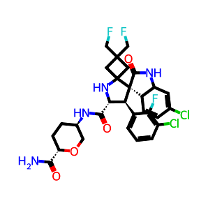 NC(=O)[C@@H]1CC[C@@H](NC(=O)[C@@H]2NC3(CC(CF)(CF)C3)[C@@]3(C(=O)NC4C=C(Cl)C=CC43)[C@H]2c2cccc(Cl)c2F)CO1